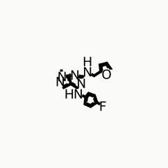 Cn1ncc2c(Nc3ccc(F)cc3)nc(NCc3ccco3)nc21